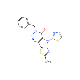 CSc1nc2c(s1)c1cnn(Cc3ccccc3)c(=O)c1n2-c1nccs1